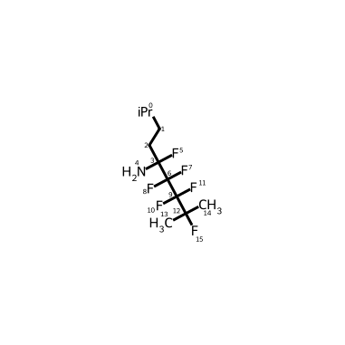 CC(C)CCC(N)(F)C(F)(F)C(F)(F)C(C)(C)F